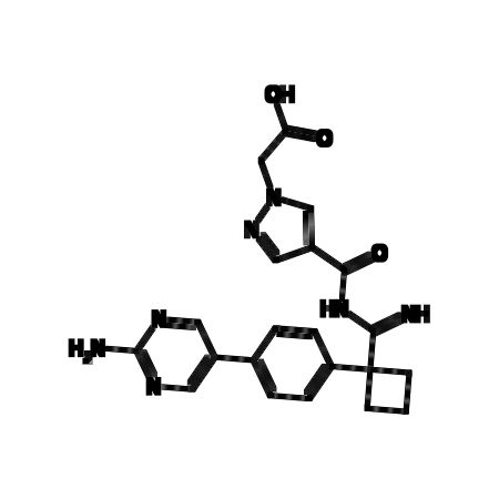 N=C(NC(=O)c1cnn(CC(=O)O)c1)C1(c2ccc(-c3cnc(N)nc3)cc2)CCC1